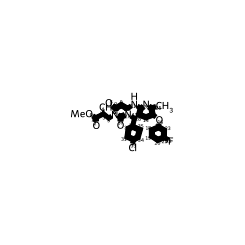 COC(=O)[C@@H](C)Cn1c(=O)cc(Nc2ccc(Oc3cccc(F)c3)c(C)n2)n(Cc2ccc(Cl)cc2)c1=O